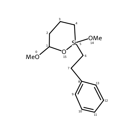 COC1CCC[Si](CCc2ccccc2)(OC)O1